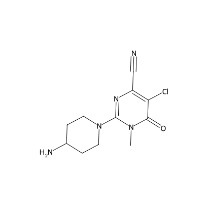 Cn1c(N2CCC(N)CC2)nc(C#N)c(Cl)c1=O